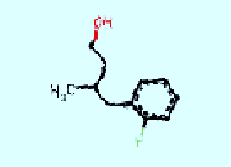 CC(CCO)Cc1ccccc1F